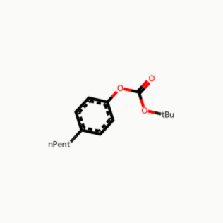 CCCCCc1ccc(OC(=O)OC(C)(C)C)cc1